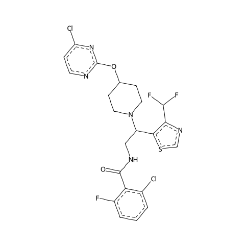 O=C(NCC(c1scnc1C(F)F)N1CCC(Oc2nccc(Cl)n2)CC1)c1c(F)cccc1Cl